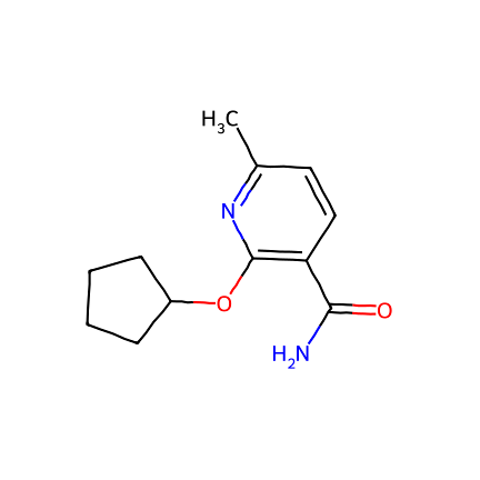 Cc1ccc(C(N)=O)c(OC2CCCC2)n1